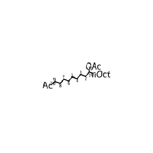 CCCCCCCCC(CCCCCCCCC(C)=O)OC(C)=O